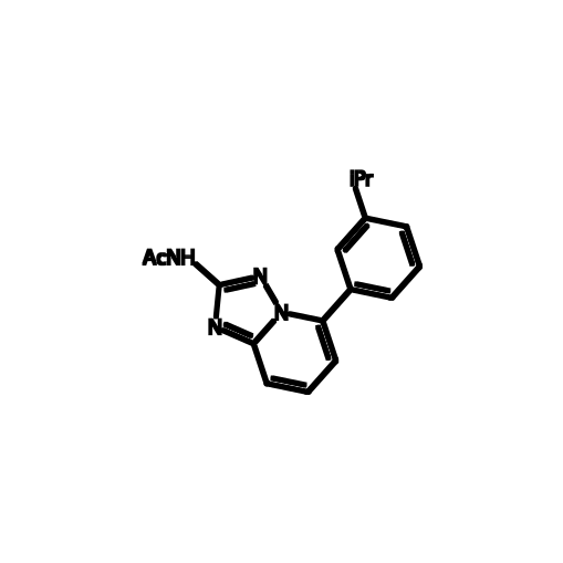 CC(=O)Nc1nc2cccc(-c3cccc(C(C)C)c3)n2n1